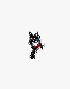 C/C1=C/C=C/C(C)[C@H](O)[C@@H](C)C(O)[C@@H](C)[C@H](OC(=O)CC(=O)N2CCCN(c3ncccn3)CC2)CC/C=C/O[C@@]2(C)Oc3c(C)c(O)c4c(c3C2=O)C2=NC3(CCN(CC(C)C)CC3)NC2=C(NC1=O)C4=O